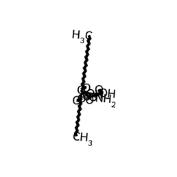 CCCCCCCCCCCCCCCCCCCC(=O)O[C@H](COC(=O)CCCCCCCCCCCCC)COP(=O)(O)OC[C@H](N)C(=O)O